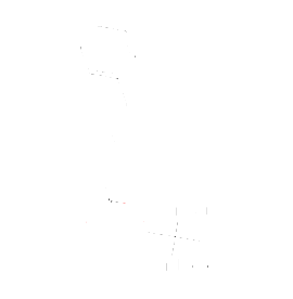 CCCCCCC(C)(CCCC)COC(=O)CCCCc1ccccc1